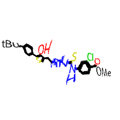 COC(=O)c1ccc(NC(=S)NN=CCc2csc(-c3ccc(C(C)(C)C)cc3)c2O)cc1Cl